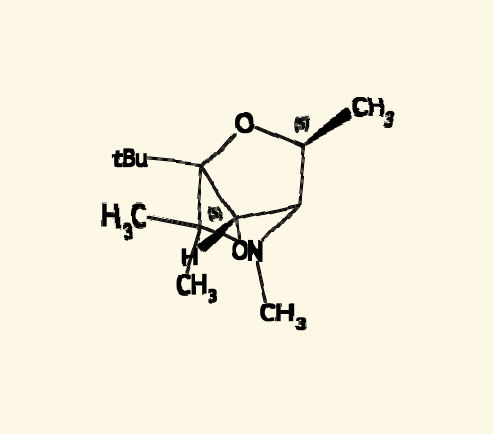 C[C@@H]1OC2(C(C)(C)C)[C@@H](O)C1N(C)C2(C)C